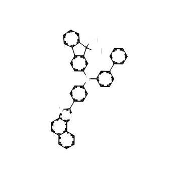 CC1(C)c2ccccc2-c2ccc(N(c3ccc(-c4nc5ccc6ccccc6c5o4)cc3)c3cccc(-c4ccccc4)c3)cc21